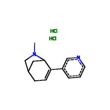 CN1CC2CC=C(c3cccnc3)C1C2.Cl.Cl